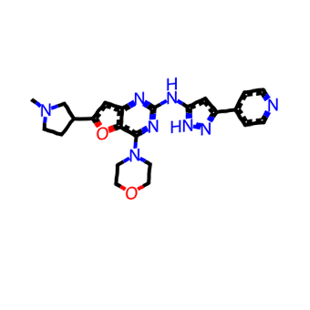 CN1CCC(c2cc3nc(Nc4cc(-c5ccncc5)n[nH]4)nc(N4CCOCC4)c3o2)C1